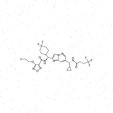 O=C(CCC(F)(F)F)N[C@@H](c1cnn2cc([C@@H](NC(=O)c3nonc3OCCF)C3CCC(F)(F)CC3)nc2c1)C1CC1